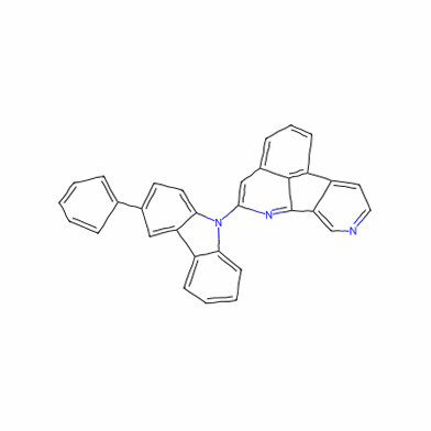 c1ccc(-c2ccc3c(c2)c2ccccc2n3-c2cc3cccc4c3c(n2)-c2cnccc2-4)cc1